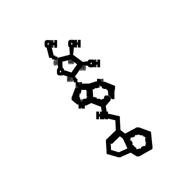 OC[C@H]1O[C@@H](n2cnc3c(NCC4=CCCc5ccccc54)ncnc32)[C@H](O)[C@@H]1O